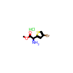 COC(=O)C(N)c1cc(Br)cs1.Cl